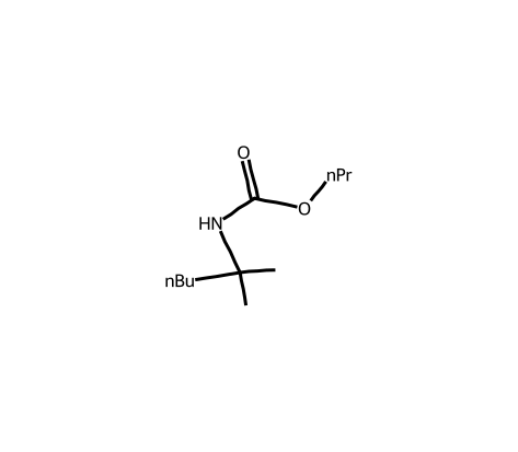 CCCCC(C)(C)NC(=O)OCCC